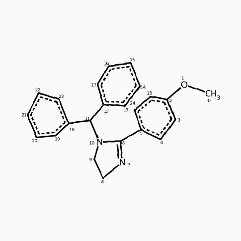 COc1ccc(C2=NCCN2C(c2ccccc2)c2ccccc2)cc1